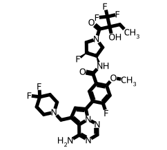 CCC(O)(C(=O)N1C[C@H](F)[C@H](NC(=O)c2cc(-c3cc(CN4CCC(F)(F)CC4)c4c(N)ncnn34)c(F)cc2OC)C1)C(F)(F)F